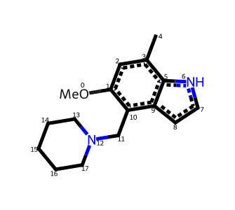 COc1cc(C)c2[nH]ccc2c1CN1CCCCC1